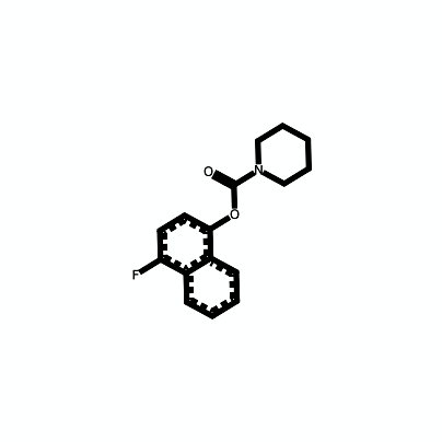 O=C(Oc1ccc(F)c2ccccc12)N1CCCCC1